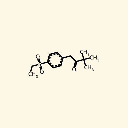 CCS(=O)(=O)c1ccc(CC(=O)C(C)(C)C)cc1